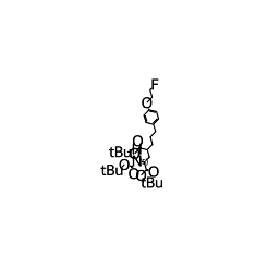 CC(C)(C)OC(=O)N[C@@H](CC(CCCc1ccc(OCCF)cc1)C(=O)OC(C)(C)C)C(=O)OC(C)(C)C